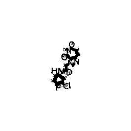 Cn1c(=O)ccc2ncn(CC(=O)Nc3ccc(F)c(Cl)c3)c2c1=O